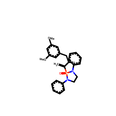 C=C(C(Cc1cc(OC)cc(OC)c1)C(=O)OCC)P1(=O)N(c2ccccc2)CCN1c1ccccc1